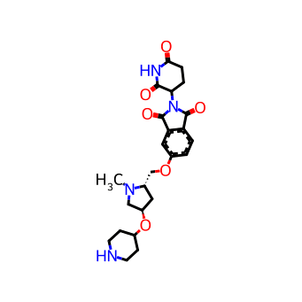 CN1C[C@H](OC2CCNCC2)C[C@H]1COc1ccc2c(c1)C(=O)N(C1CCC(=O)NC1=O)C2=O